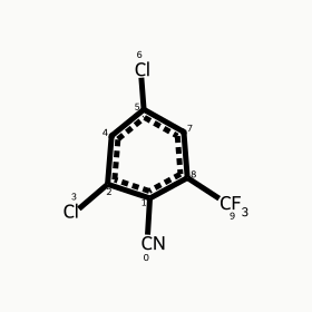 N#Cc1c(Cl)cc(Cl)cc1C(F)(F)F